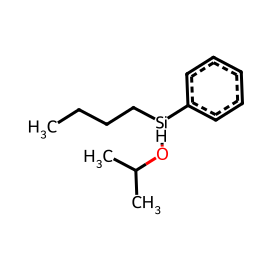 CCCC[SiH](OC(C)C)c1ccccc1